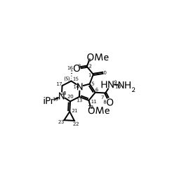 C=C(C(=O)OC)c1c(C(=O)NN)c(OC)c2n1[C@@H](C)CN(C(C)C)C2=C1CC1